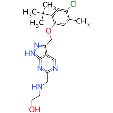 Cc1cc(OCc2n[nH]c3nc(CNCCO)ncc23)c(C(C)(C)C)cc1Cl